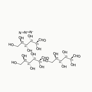 O=C[C@@H](O)[C@@H](O)[C@H](O)[C@H](O)CO.O=C[C@@H](O)[C@@H](O)[C@H](O)[C@H](O)CO.O=C[C@@H](O)[C@@H](O)[C@H](O)[C@H](O)CO.[N-]=[N+]=[N-]